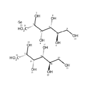 O=C(O)[C@H](O)[C@@H](O)[C@H](O)[C@H](O)CO.O=C(O)[C@H](O)[C@@H](O)[C@H](O)[C@H](O)CO.[Se]